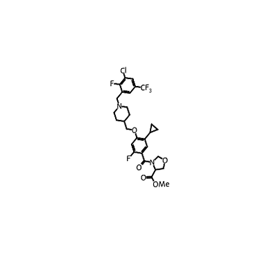 COC(=O)C1COCN1C(=O)c1cc(C2CC2)c(OCC2CCN(Cc3cc(C(F)(F)F)cc(Cl)c3F)CC2)cc1F